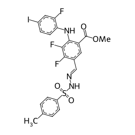 COC(=O)c1cc(/C=N/NS(=O)(=O)c2ccc(C)cc2)c(F)c(F)c1Nc1ccc(I)cc1F